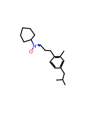 Cc1cc(CC(C)C)ccc1CCC=[N+]([O-])C1CCCCC1